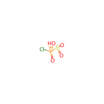 O=[PH](Cl)S(=O)(=O)O